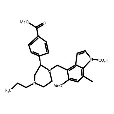 COC(=O)c1ccc([C@@H]2CN(CCC(F)(F)F)CCN2Cc2c(OC)cc(C)c3c2ccn3C(=O)O)cc1